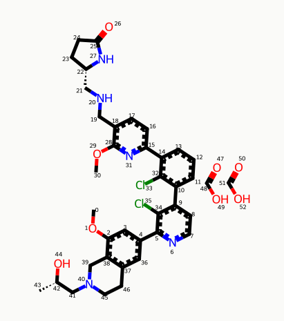 COc1cc(-c2nccc(-c3cccc(-c4ccc(CNC[C@@H]5CCC(=O)N5)c(OC)n4)c3Cl)c2Cl)cc2c1CN(C[C@H](C)O)CC2.O=CO.O=CO